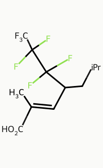 CC(=CC(CC(C)C)C(F)(F)C(F)(F)C(F)(F)F)C(=O)O